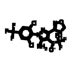 Nc1c([S+]([O-])C(F)(F)F)c(C2=NOCN2)nn1-c1c(Cl)cc(C(F)(F)F)cc1Cl